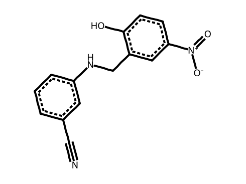 N#Cc1cccc(NCc2cc([N+](=O)[O-])ccc2O)c1